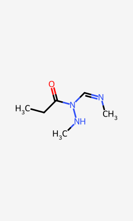 CCC(=O)N(/C=N\C)NC